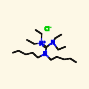 CCCCCN(CCCCC)C(N(CC)CC)=[N+](CC)CC.[Cl-]